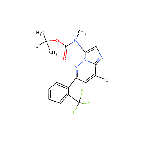 Cc1cc(-c2ccccc2C(F)(F)F)nn2c(N(C)C(=O)OC(C)(C)C)cnc12